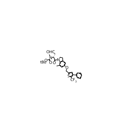 Cc1cc(OCc2cc(-c3ccccc3)c(C(F)(F)F)s2)cc2c1N(C(=O)[C@@H](CC=O)N(C)C(=O)OC(C)(C)C)CC2